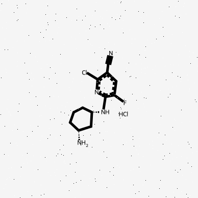 Cl.N#Cc1cc(F)c(N[C@H]2CCC[C@@H](N)C2)nc1Cl